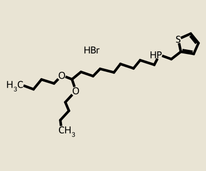 Br.CCCCOC(CCCCCCCCPCc1cccs1)OCCCC